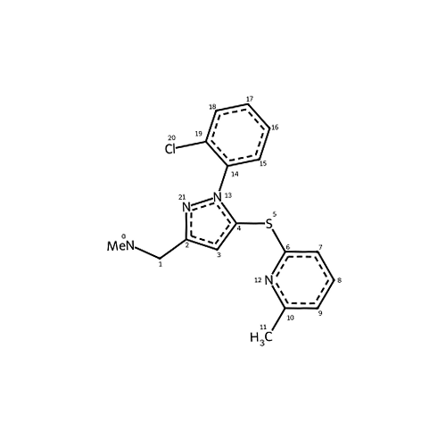 CNCc1cc(Sc2cccc(C)n2)n(-c2ccccc2Cl)n1